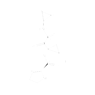 C[C@H]1C[C@]1(NC(=O)[C@@H]1CCCN1)C(=O)C(=O)NC1CC1